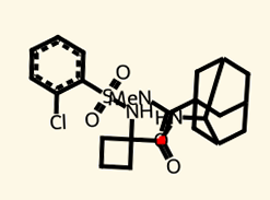 CNC(=O)C12CC3CC(C1)C(NC(=O)C1(NS(=O)(=O)c4ccccc4Cl)CCC1)C(C3)C2